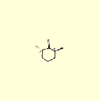 C=C1[C@@H](C)CCC[C@@H]1C